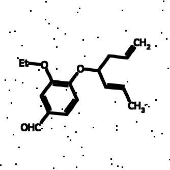 C=CCC(C=CC)Oc1ccc(C=O)cc1OCC